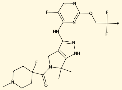 CN1CCC(F)(C(=O)N2Cc3c(Nc4nc(OCC(F)(F)F)ncc4F)n[nH]c3C2(C)C)CC1